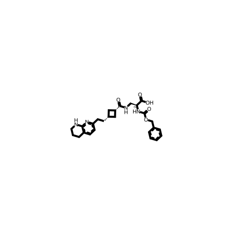 O=C(N[C@@H](CNC(=O)[C@H]1C[C@@H](CCc2ccc3c(n2)NCCC3)C1)C(=O)O)OCc1ccccc1